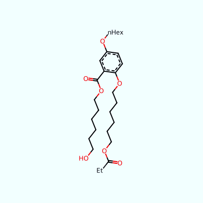 CCCCCCOc1ccc(OCCCCCCOC(=O)CC)c(C(=O)OCCCCCCO)c1